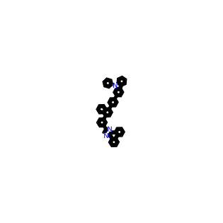 c1ccc(-n2c3ccccc3c3ccc(-c4ccc(-c5ccc(-c6cccc(-c7cnc8c9ccccc9c9ccccc9c8n7)c6)c6ccccc56)cc4)cc32)cc1